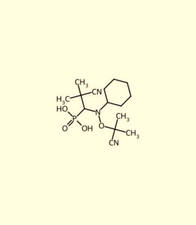 CC(C)(C#N)ON(C1CCCCC1)C(C(C)(C)C#N)P(=O)(O)O